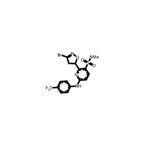 CNS(=O)(=O)c1ccc(Nc2ccc(C(F)(F)F)cc2)nc1C1CC(Br)=NO1